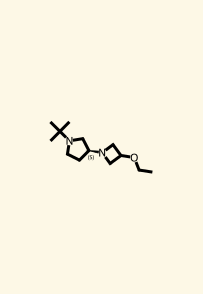 CCOC1CN([C@H]2CCN(C(C)(C)C)C2)C1